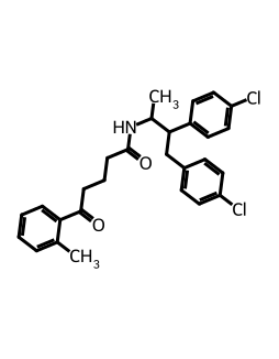 Cc1ccccc1C(=O)CCCC(=O)NC(C)C(Cc1ccc(Cl)cc1)c1ccc(Cl)cc1